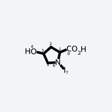 O=C(O)C1CC(O)CN1I